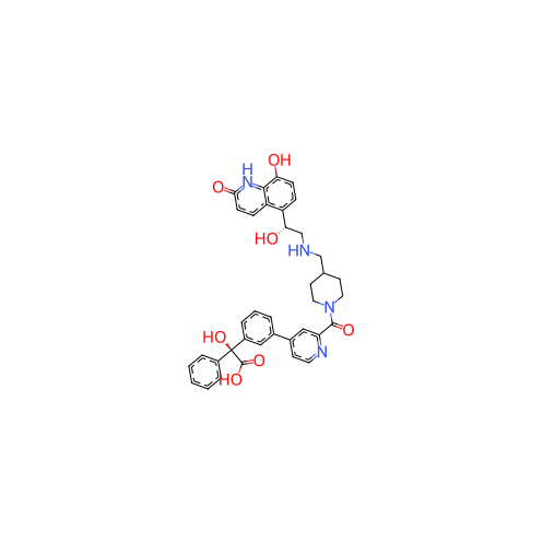 O=C(c1cc(-c2cccc([C@](O)(C(=O)O)c3ccccc3)c2)ccn1)N1CCC(CNC[C@H](O)c2ccc(O)c3[nH]c(=O)ccc23)CC1